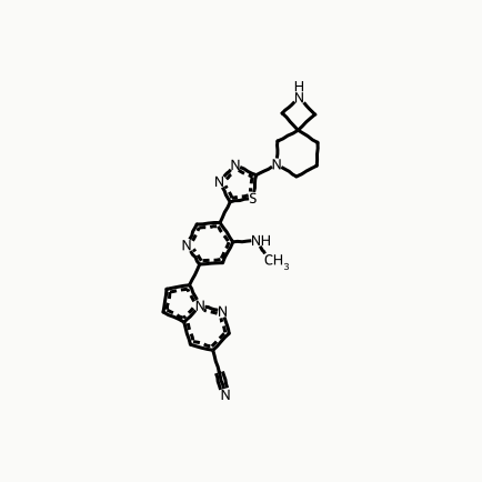 CNc1cc(-c2ccc3cc(C#N)cnn23)ncc1-c1nnc(N2CCCC3(CNC3)C2)s1